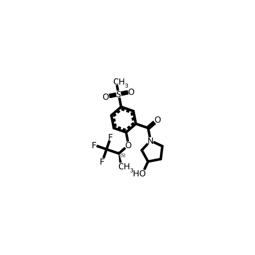 C[C@H](Oc1ccc(S(C)(=O)=O)cc1C(=O)N1CCC(O)C1)C(F)(F)F